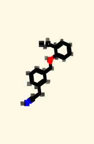 Cc1ccccc1OCc1cccc(CC#N)c1